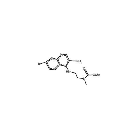 COC(=O)N(C)CCNc1c(N)cnc2cc(Br)ccc12